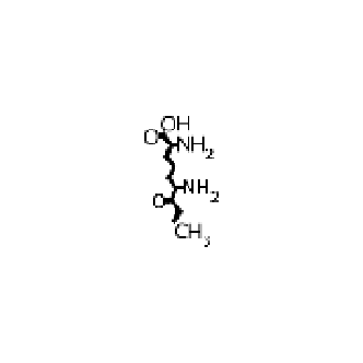 C/C=C/C(=O)C(N)CCCC(N)C(=O)O